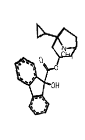 CN1C2CCC1(C1CC1)CC(OC(=O)C1(O)c3ccccc3-c3ccccc31)C2